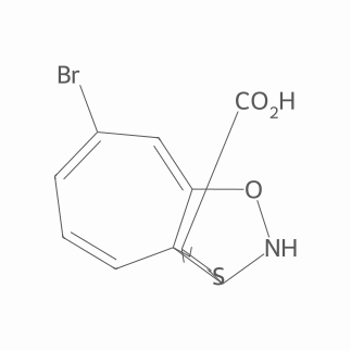 O=C(O)C1=CC23C=CC=C(Br)C=C2ONC3CS1